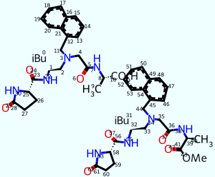 CC[C@H](C)[C@@H](CN(CC(=O)N[C@@H](C)C(=O)O)Cc1cccc2ccccc12)NC(=O)[C@@H]1CCC(=O)N1.CC[C@H](C)[C@@H](CN(CC(=O)N[C@@H](C)C(=O)OC)Cc1cccc2ccccc12)NC(=O)[C@@H]1CCC(=O)N1